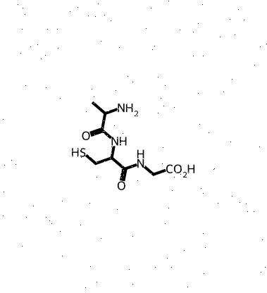 CC(N)C(=O)NC(CS)C(=O)NCC(=O)O